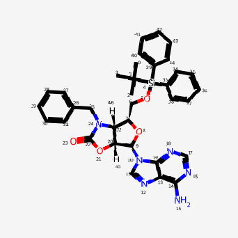 CC(C)(C)[Si](OC[C@H]1O[C@@H](n2cnc3c(N)ncnc32)[C@@H]2OC(=O)N(Cc3ccccc3)[C@@H]21)(c1ccccc1)c1ccccc1